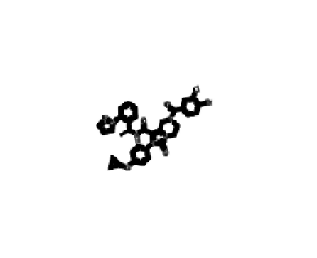 C[C@H](NC(=O)c1c2n(c(=O)n1-c1ccc(OC3CC3)cc1)CCN(C(=O)c1ccc(Br)c(Cl)c1)C2)c1ccccc1-n1cccn1